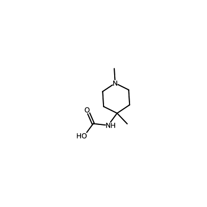 CN1CCC(C)(NC(=O)O)CC1